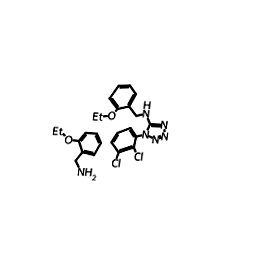 CCOc1ccccc1CN.CCOc1ccccc1CNc1nnnn1-c1cccc(Cl)c1Cl